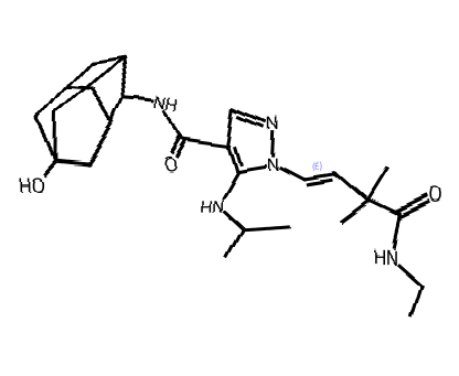 CCNC(=O)C(C)(C)/C=C/n1ncc(C(=O)NC2C3CC4CC2CC(O)(C4)C3)c1NC(C)C